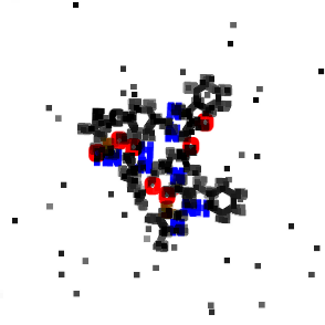 C=C[C@@H]1C[C@]1(NC(=O)[C@@H]1C[C@@H](Oc2nc(-c3ccc(C(F)(F)F)cc3)nc3c2oc2ccccc23)CN1C(=O)[C@H](CC1CCCCC1)Nc1nc(C)cs1)C(=O)NS(=O)(=O)C1CC1